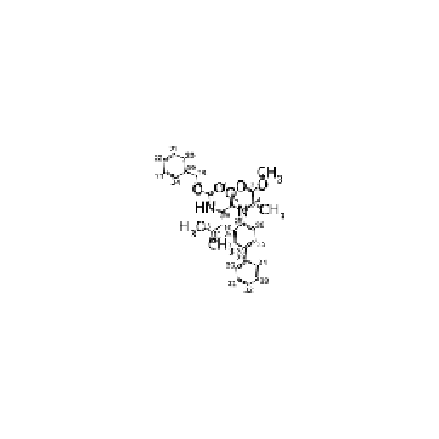 COC(=O)[C@H](C)N(C(=O)[C@H](CC(C)C)NC(=O)OCc1ccccc1)c1ccc(-c2ccccc2)cc1